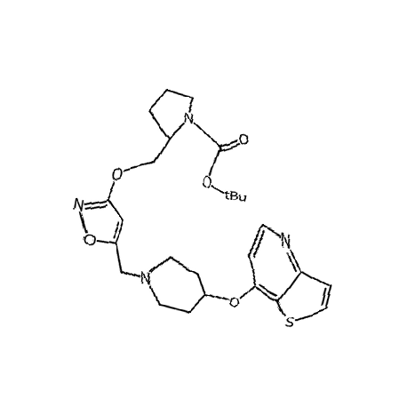 CC(C)(C)OC(=O)N1CCCC1COc1cc(CN2CCC(Oc3ccnc4ccsc34)CC2)on1